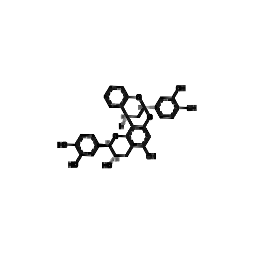 Oc1ccc([C@H]2Oc3c(c(O)cc4c3[C@@H]3C[C@@](c5ccc(O)c(O)c5)(Oc5ccccc53)O4)C[C@@H]2O)cc1O